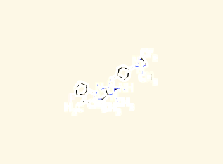 C=C(C)c1c(F)cccc1-c1nc(C)c2c(n1)n(Cc1ccc(-c3nc(C(F)(F)F)cn3C)cc1)c(=N)n2C